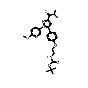 COc1ccc(-n2nc(C(=O)C(C)C)cc2-c2ccc(OCCNC(=O)OC(C)(C)C)cc2)cn1